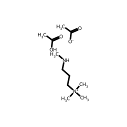 CC(=O)O.CC(=O)[O-].CNCCC[N+](C)(C)C